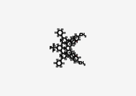 Cc1ccc(-c2ccc3c(c2)c2cc(-c4ccc(C)cc4)ccc2n3-c2c(-c3nc(-c4ccccc4)cc(-c4ccccc4)n3)cc(C(F)(F)F)cc2-c2nc(-c3ccccc3)cc(-c3ccccc3)n2)cc1